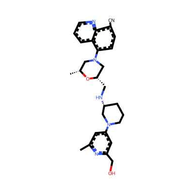 Cc1cc(N2CCC[C@@H](NC[C@H]3CN(c4ccc(C#N)c5ncccc45)C[C@@H](C)O3)C2)cc(CO)n1